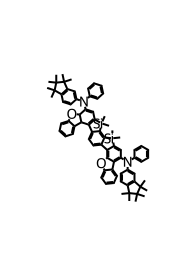 CC1(C)c2ccc(N(C3=CC4=C(c5ccc6c(c5[Si]4(C)C)[Si](C)(C)c4cc(N(c5ccccc5)c5ccc7c(c5)C(C)(C)C(C)(C)C7(C)C)c5c(oc7ccccc75)c4-6)C4c5ccccc5OC34)c3ccccc3)cc2C(C)(C)C1(C)C